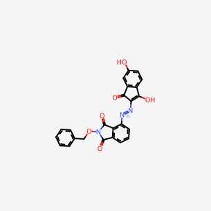 O=C1C(/N=N/c2cccc3c2C(=O)N(OCc2ccccc2)C3=O)=C(O)c2ccc(O)cc21